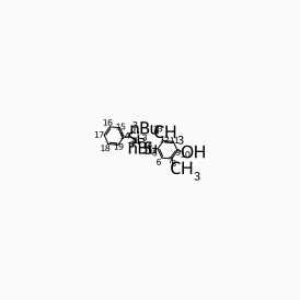 CCCC[Si](CCCC)(CSc1cc(C)c(O)cc1C)c1ccccc1